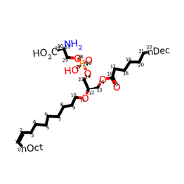 CCCCCCCC/C=C\CCCCCCCCO[C@H](COC(=O)CCCCCCCCCCCCCCC)COP(=O)(O)OC[C@H](N)C(=O)O